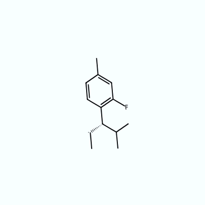 C[CH][C@H](c1ccc(C)cc1F)C(C)C